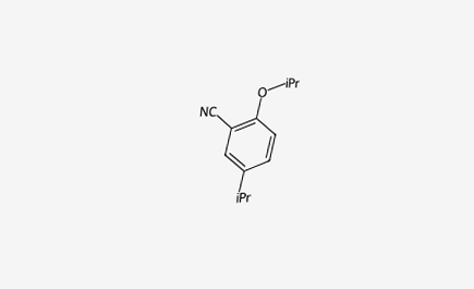 CC(C)Oc1ccc(C(C)C)cc1C#N